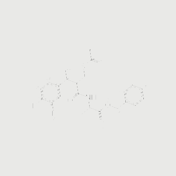 CC(=O)SCC(C(=O)NC(C)C(=O)OCc1ccccc1)C(C)c1ccc(F)c(F)c1